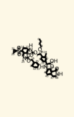 CCCCOC[C@@H](COC(=O)Nc1ccc(S(=O)(=O)C2CC2)c(CN(C)C(=O)OCc2ccccc2)c1)c1ccc(C(Nc2ccc3cc[nH]c(=O)c3c2)C(=O)O)cc1C